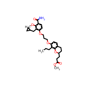 CCCc1c(OCCCOc2ccc(C(N)=O)c(OC)c2CC2CC2)ccc2c1OC(CCC(=O)OC)CC2